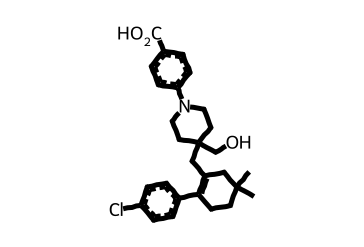 CC1(C)CCC(c2ccc(Cl)cc2)=C(CC2(CO)CCN(c3ccc(C(=O)O)cc3)CC2)C1